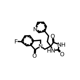 O=C1NC(=O)C(CCc2cccnc2)(CN2Cc3ccc(F)cc3C2=O)N1